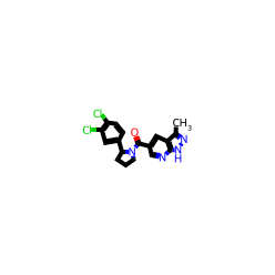 Cc1n[nH]c2ncc(C(=O)N3CCCC3c3ccc(Cl)c(Cl)c3)cc12